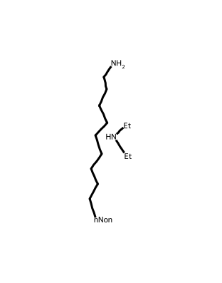 CCCCCCCCCCCCCCCCCCN.CCNCC